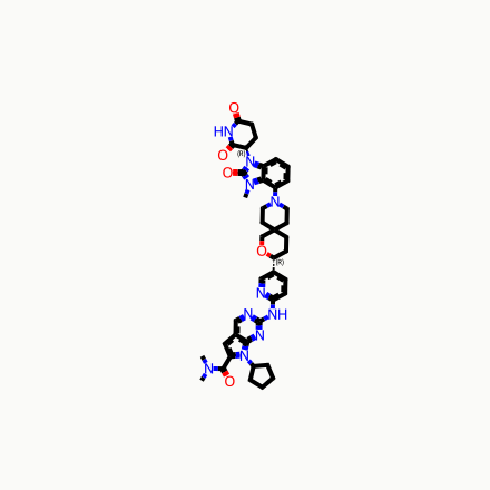 CN(C)C(=O)c1cc2cnc(Nc3ccc([C@H]4CCC5(CCN(c6cccc7c6n(C)c(=O)n7[C@@H]6CCC(=O)NC6=O)CC5)CO4)cn3)nc2n1C1CCCC1